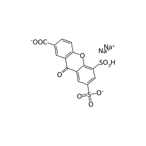 O=C([O-])c1ccc2oc3c(S(=O)(=O)O)cc(S(=O)(=O)[O-])cc3c(=O)c2c1.[Na+].[Na+]